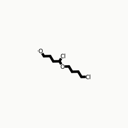 [O]CCCC(Cl)OCCCCCl